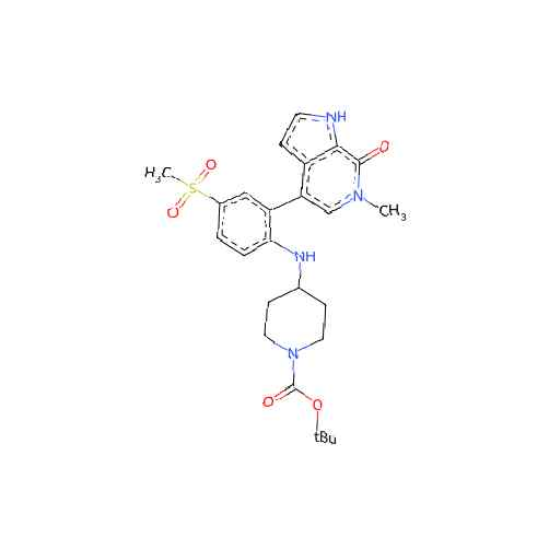 Cn1cc(-c2cc(S(C)(=O)=O)ccc2NC2CCN(C(=O)OC(C)(C)C)CC2)c2cc[nH]c2c1=O